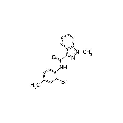 Cc1ccc(NC(=O)c2nn(C)c3ccccc23)c(Br)c1